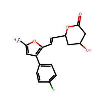 Cc1cc(-c2ccc(F)cc2)c(C=CC2CC(O)CC(=O)O2)o1